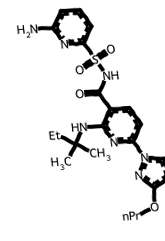 CCCOc1ccn(-c2ccc(C(=O)NS(=O)(=O)c3cccc(N)n3)c(NC(C)(C)CC)n2)n1